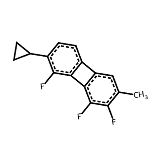 Cc1cc2c(c(F)c1F)-c1c-2ccc(C2CC2)c1F